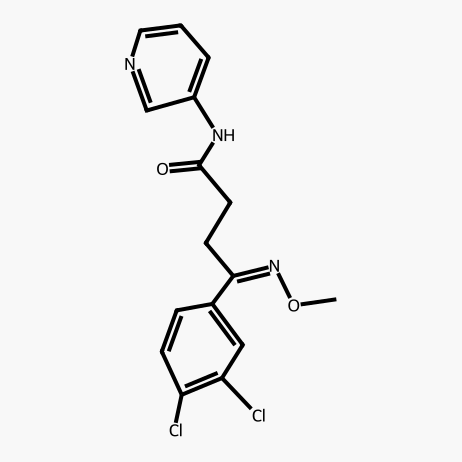 CON=C(CCC(=O)Nc1cccnc1)c1ccc(Cl)c(Cl)c1